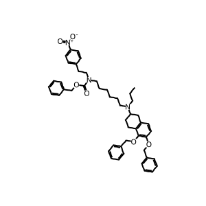 CCCN(CCCCCCN(CCc1ccc([N+](=O)[O-])cc1)C(=O)OCc1ccccc1)C1CCc2c(ccc(OCc3ccccc3)c2OCc2ccccc2)C1